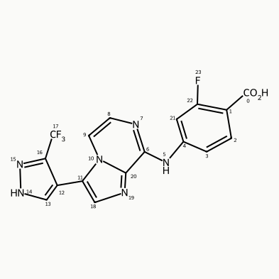 O=C(O)c1ccc(Nc2nccn3c(-c4c[nH]nc4C(F)(F)F)cnc23)cc1F